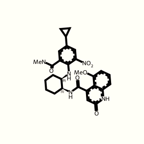 CNC(=O)c1cc(C2CC2)cc([N+](=O)[O-])c1N[C@@H]1CCCC[C@@H]1NC(=O)c1cc(=O)[nH]c2cccc(OC)c12